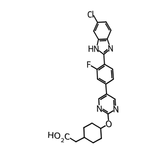 O=C(O)CC1CCC(Oc2ncc(-c3ccc(-c4nc5ccc(Cl)cc5[nH]4)c(F)c3)cn2)CC1